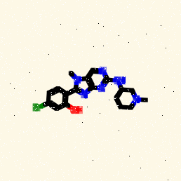 CN1CCC[C@@H](Nc2ncc3c(n2)nc(-c2ccc(Br)cc2O)n3C)C1